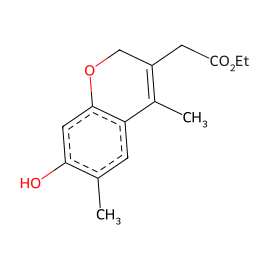 CCOC(=O)CC1=C(C)c2cc(C)c(O)cc2OC1